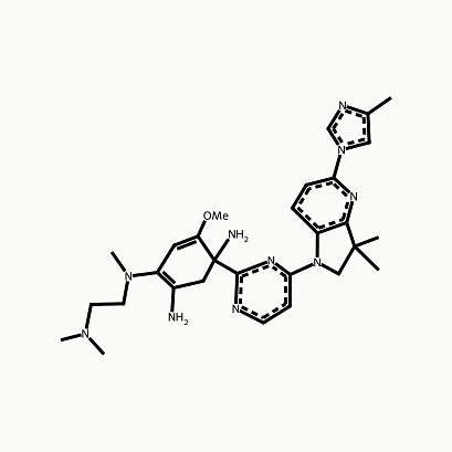 COC1=CC(N(C)CCN(C)C)=C(N)CC1(N)c1nccc(N2CC(C)(C)c3nc(-n4cnc(C)c4)ccc32)n1